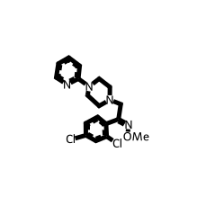 CO/N=C(/CN1CCN(c2ccccn2)CC1)c1ccc(Cl)cc1Cl